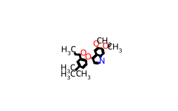 CCC(=O)c1cc(C(C)(C)C)ccc1Oc1ccnc2cc(OC)c(OC)cc12